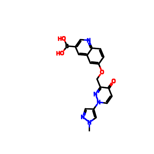 Cn1cc(-n2ccc(=O)c(COc3ccc4ncc(B(O)O)cc4c3)n2)cn1